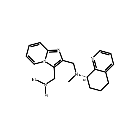 CCN(CC)Cc1c(CN(C)[C@H]2CCCc3cccnc32)nc2ccccn12